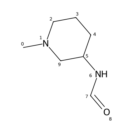 CN1CCCC(NC=O)C1